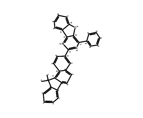 CC1(C)c2ccccc2-c2ccc3cc(-c4nc(-c5ccccc5)c5oc6ccccc6c5n4)ccc3c21